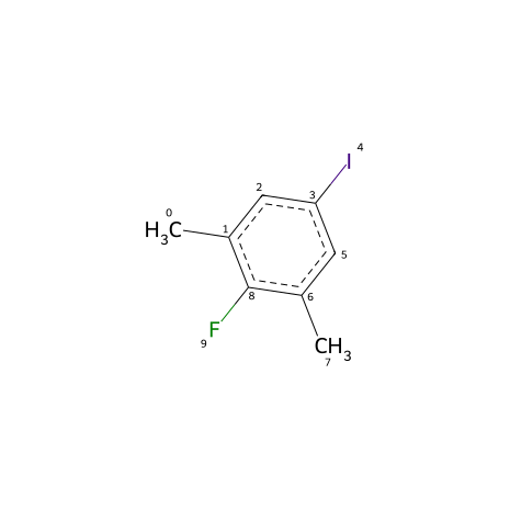 Cc1cc(I)cc(C)c1F